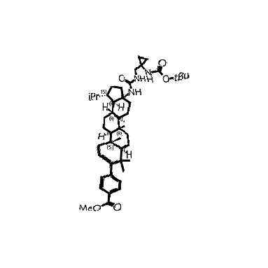 COC(=O)c1ccc(C2=CC[C@]3(C)[C@H]4CC[C@@H]5[C@H]6[C@H](C(C)C)CC[C@]6(NC(=O)NCC6(NC(=O)OC(C)(C)C)CC6)CC[C@@]5(C)[C@]4(C)CC[C@H]3C2(C)C)cc1